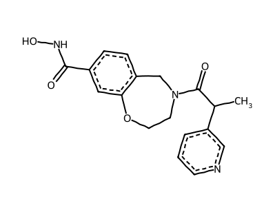 CC(C(=O)N1CCOc2cc(C(=O)NO)ccc2C1)c1cccnc1